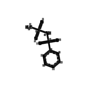 CS(=O)(=O)NS(=O)(=O)c1cc[c]cc1